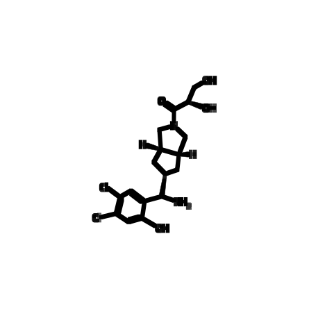 NC(c1cc(Cl)c(Cl)cc1O)[C@H]1C[C@@H]2CN(C(=O)[C@H](O)CO)C[C@@H]2C1